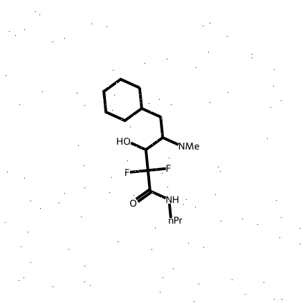 CCCNC(=O)C(F)(F)C(O)C(CC1CCCCC1)NC